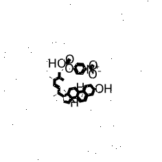 CC(C)[C@@H](C)/C=C/[C@@H](C)[C@H]1CC[C@H]2C3=CC=C4C[C@@H](O)CC[C@]4(C)[C@H]3CC[C@]12C.O=C(O)Oc1ccc([N+](=O)[O-])cc1